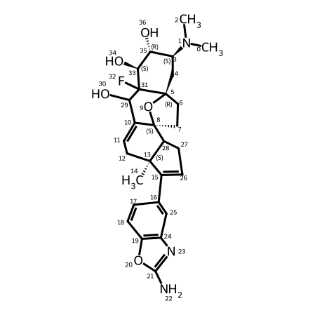 CN(C)[C@H]1C[C@@]23CC[C@@]4(O2)C(=CC[C@]2(C)C(c5ccc6oc(N)nc6c5)=CCC24)C(O)C3(F)[C@@H](O)[C@@H]1O